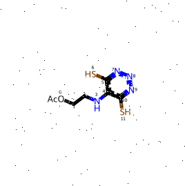 CC(=O)OCCNc1c(S)nnnc1S